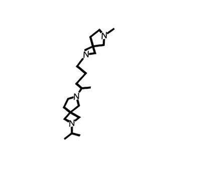 CC(C)N1CC2(CCN(C(C)CCCN3CC4(CCN(C)C4)C3)C2)C1